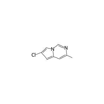 Cc1cc2cc(Cl)cn2cn1